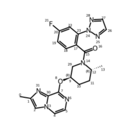 Cc1cn2ccnc(O[C@@H]3CC[C@@H](C)N(C(=O)c4ccc(F)cc4-n4nccn4)C3)c2n1